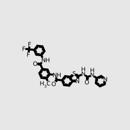 Cc1ccc(C(=O)Nc2cccc(C(F)(F)F)c2)cc1NC(=O)c1ccc2nc(NC(=O)Nc3cccnc3)sc2c1